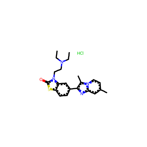 CCN(CC)CCn1c(=O)sc2ccc(-c3nc4cc(C)ccn4c3C)cc21.Cl